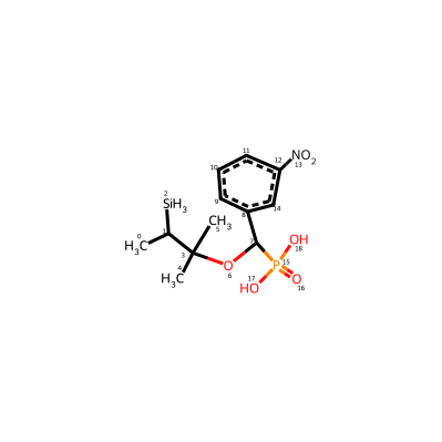 CC([SiH3])C(C)(C)OC(c1cccc([N+](=O)[O-])c1)P(=O)(O)O